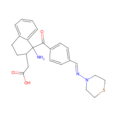 NC1(C(=O)c2ccc(C=NN3CCSCC3)cc2)c2ccccc2CCC1CC(=O)O